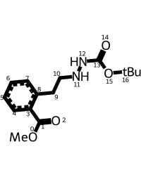 COC(=O)c1ccccc1CCNNC(=O)OC(C)(C)C